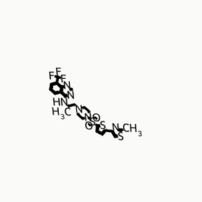 Cc1nc(-c2ccc(S(=O)(=O)N3CCN(C[C@H](C)Nc4ncnc5c(C(F)(F)F)cccc45)CC3)s2)cs1